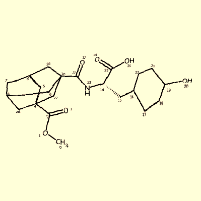 COC(=O)C12CC3CC(CC(C(=O)N[C@@H](CC4CCC(O)CC4)C(=O)O)(C3)C1)C2